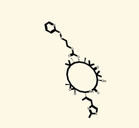 C/C(=C\c1csc(C)n1)[C@@H]1C[C@@H]2O[C@]2(C)CCCC(C)(C)[C@H](C)[C@H](OC(=O)OCCSSc2ccccn2)[C@@H](C)C(C)(C)C(=O)C(C)(C)[C@@H](O)CC(=O)N1